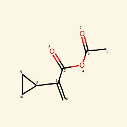 C=C(C(=O)OC(C)=O)C1CC1